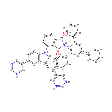 O=C1c2c(cccc2-n2c3ccc(-c4cncnc4)cc3c3cc(-c4cncnc4)ccc32)C(O)N1c1c(-c2ccccc2)cc(-c2ccccc2)cc1-c1ccccc1